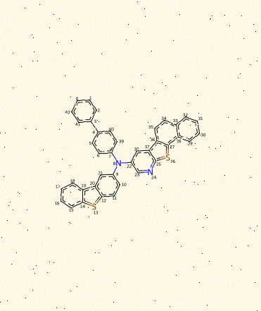 c1ccc(-c2ccc(N(c3ccc4sc5ccccc5c4c3)c3cnc4sc5c6ccccc6ccc5c4c3)cc2)cc1